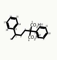 CC(CCC(C(=O)O)(C(=O)O)c1ccccc1)c1ccccc1